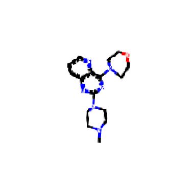 CN1CCN(c2nc(N3CCOCC3)c3ncccc3n2)CC1